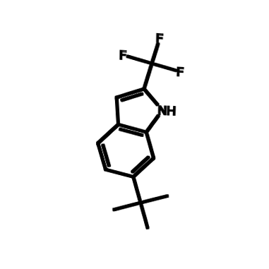 CC(C)(C)c1ccc2cc(C(F)(F)F)[nH]c2c1